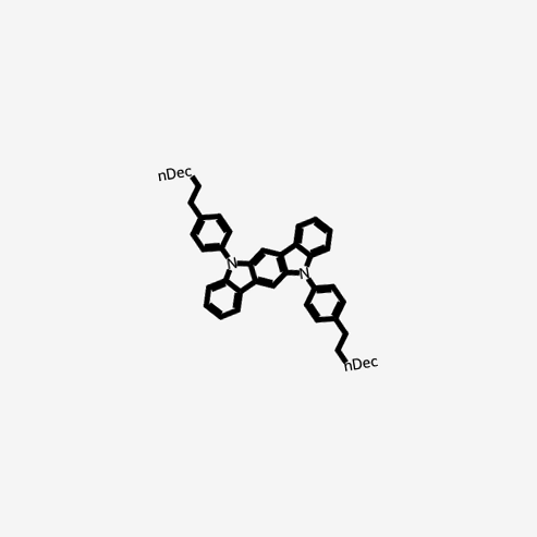 CCCCCCCCCCCCc1ccc(-n2c3ccccc3c3cc4c(cc32)c2ccccc2n4-c2ccc(CCCCCCCCCCCC)cc2)cc1